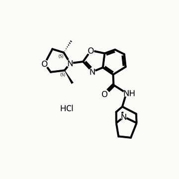 C[C@H]1COC[C@H](C)N1c1nc2c(C(=O)NC3CC4CCC(C3)N4C)cccc2o1.Cl